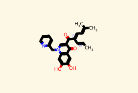 C/C=C/C(=C\C=C(C)C)C(=O)c1cn(Cc2ccccn2)c2cc(O)c(O)cc2c1=O